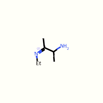 CC/N=C(/C)C(C)N